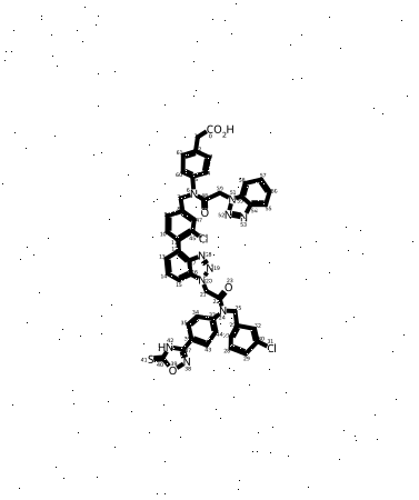 O=C(O)Cc1ccc(N(Cc2ccc(-c3cccc4c3nnn4CC(=O)N(Cc3cccc(Cl)c3)c3ccc(-c4noc(=S)[nH]4)cc3)c(Cl)c2)C(=O)Cn2nnc3ccccc32)cc1